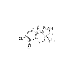 C[C@@]12CCc3c(ccc(Cl)c3Cl)[C@H]1CNC2